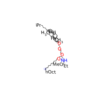 CCCCCCCC/C=C\CCCCCCCCOCC(CNCC(CC)OC)OCCOCCO[C@H]1CC[C@@]2(C)C(=CC[C@H]3[C@@H]4CC[C@H](CCCCC(C)C)[C@@]4(C)CC[C@@H]32)C1